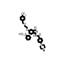 CN1CCN(c2ccc(C(=O)Nc3n[nH]c4cc(OCCOCc5ccc(C(F)(F)F)cc5)ccc34)cc2)CC1.O=S(=O)(O)c1ccccc1